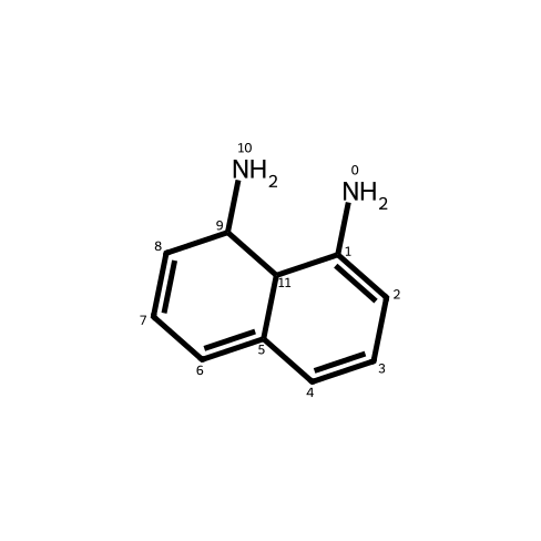 NC1=CC=CC2=CC=CC(N)C12